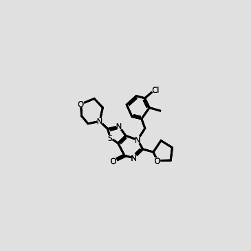 Cc1c(Cl)cccc1Cn1c(C2CCCO2)nc(=O)c2sc(N3CCOCC3)nc21